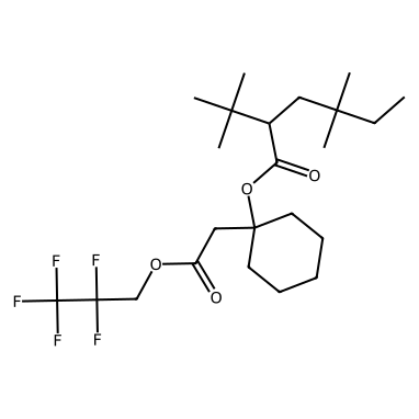 CCC(C)(C)CC(C(=O)OC1(CC(=O)OCC(F)(F)C(F)(F)F)CCCCC1)C(C)(C)C